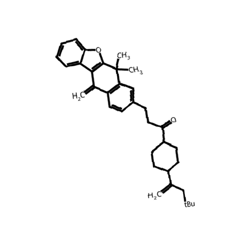 C=C1c2ccc(CCC(=O)C3CCC(C(=C)CC(C)(C)C)CC3)cc2C(C)(C)c2oc3ccccc3c21